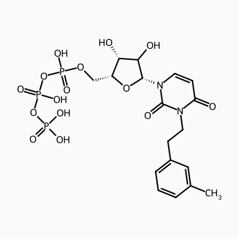 Cc1cccc(CCn2c(=O)ccn([C@@H]3O[C@H](COP(=O)(O)OP(=O)(O)OP(=O)(O)O)[C@H](O)C3O)c2=O)c1